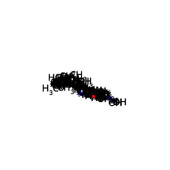 C[C@@H]1C[C@@H]2O[C@@H]3[C@@H](C)[C@H](O)[C@@H]4O[C@]5(CCCO5)[C@@H](C)[C@H](C)[C@H]4O[C@H]3C[C@H]2O[C@H]2C[C@H]3O[C@H]4C/C=C\C[C@H]5O[C@H]6C=C[C@H]7O[C@H]8[C@H](O)[C@H]9O[C@@H](/C=C/[C@H](O)CO)C=CC[C@@H]9O[C@@H]8C[C@@H]7O[C@@H]6C=C[C@@H]5O[C@@H]4C[C@@H](O)[C@]3(C)O[C@@H]2C1